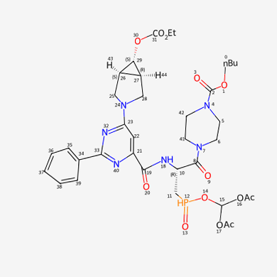 CCCCOC(=O)N1CCN(C(=O)[C@H](C[PH](=O)OC(OC(C)=O)OC(C)=O)NC(=O)c2cc(N3C[C@@H]4[C@H](C3)[C@H]4OC(=O)OCC)nc(-c3ccccc3)n2)CC1